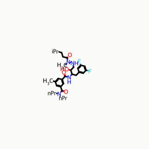 CCCN(CCC)C(=O)c1cc(C)cc(C(=O)NC(Cc2cc(F)cc(F)c2)C(O)CNN(C)C(=O)CCC(C)C)c1